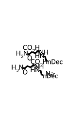 CCCCCCCCCCCCNN[C@@H](CCC(N)=O)C(=O)O.CCCCCCCCCCCCNN[C@@H](CCC(N)=O)C(=O)O.[Na]